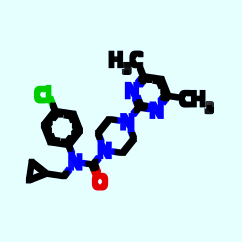 Cc1cc(C)nc(N2CCN(C(=O)N(CC3CC3)c3ccc(Cl)cc3)CC2)n1